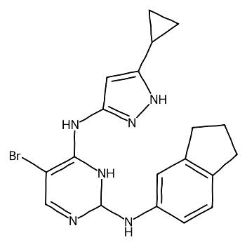 BrC1=C(Nc2cc(C3CC3)[nH]n2)NC(Nc2ccc3c(c2)CCC3)N=C1